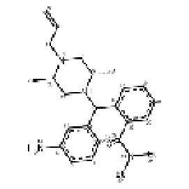 C=CCN1C[C@H](C)N(C(c2cccc(N)c2)c2ccccc2C(=O)N(CC)CC)C[C@H]1C